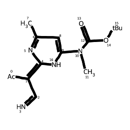 CC(=O)/C(C=N)=C1\N=C(C)C=C(N(C)C(=O)OC(C)(C)C)N1